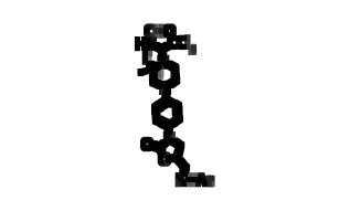 CC(=O)NCC1CN(c2ccc(N3CCN(C(NC=O)C(Cl)(Cl)Cl)[C@@](C)(F)C3)cc2)C(=O)O1